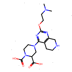 CN(C)CCOc1nc2c(c(N3CCN(C(=O)O)C(C(=O)O)C3)n1)CCNC2